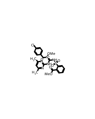 COC(=O)c1ccccc1S(=O)(=O)NC(Nc1nc(C)cc(C)n1)=[N+](OC)C(=O)c1ccc(Cl)cc1